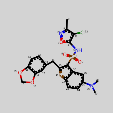 Cc1noc(NS(=O)(=O)c2c(Cc3ccc4c(c3)OCO4)sc3ccc(N(C)C)cc23)c1Cl